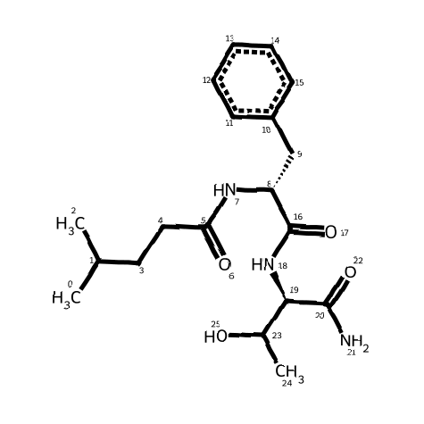 CC(C)CCC(=O)N[C@H](Cc1ccccc1)C(=O)N[C@@H](C(N)=O)C(C)O